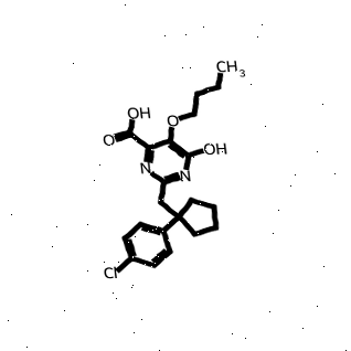 CCCCOc1c(O)nc(CC2(c3ccc(Cl)cc3)CCCC2)nc1C(=O)O